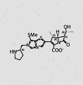 CSc1c2sc(C3=C(C(=O)[O-])N4C(=O)[C@H]([C@@H](C)O)[C@H]4[C@H]3C)c[n+]2cn1C[C@H]1CCCN1